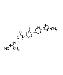 C/C(=N\C#N)NC[C@H]1CN(c2ccc(-c3ccc(-n4ncc(C)n4)nc3)c(F)c2)C(=O)O1